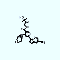 CC(C)(O)C(F)CNC(=O)c1cnc(-c2ccc3cc(C#N)cnn23)cc1NC1C2CCC1CNC2